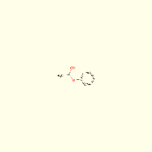 C[C](O)Oc1ccccc1